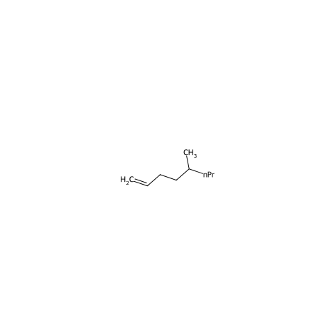 [CH2]CCC(C)CCC=C